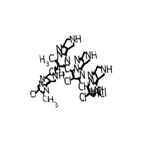 Cc1c(Cl)cnc2c3c(nn12)CNC3.Cc1nc2c3c(nn2c(C)c1Cl)CNC3.Cc1nc2c3c(nn2cc1Cl)CNC3.Cl.Cl.Clc1cnc2c3c(nn2c1)CNC3